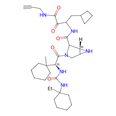 C#CCNC(=O)C(=O)C(CC1CCC1)NC(=O)C1[C@@H]2NC2CN1C(=O)[C@@H](NC(=O)NC1(CC)CCCCC1)C1(C)CCCCC1